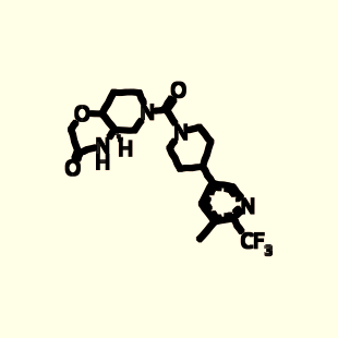 Cc1cc(C2CCN(C(=O)N3CCC4OCC(=O)N[C@@H]4C3)CC2)cnc1C(F)(F)F